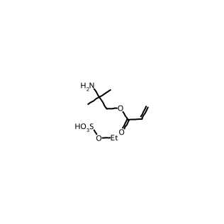 C=CC(=O)OCC(C)(C)N.CCOS(=O)(=O)O